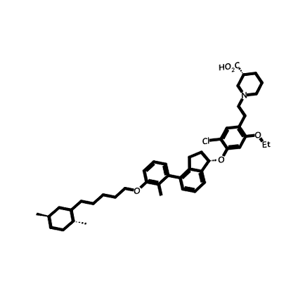 CCOc1cc(O[C@H]2CCc3c(-c4cccc(OCCCCCC5C[C@H](C)CC[C@H]5C)c4C)cccc32)c(Cl)cc1CCN1CCC[C@@H](C(=O)O)C1